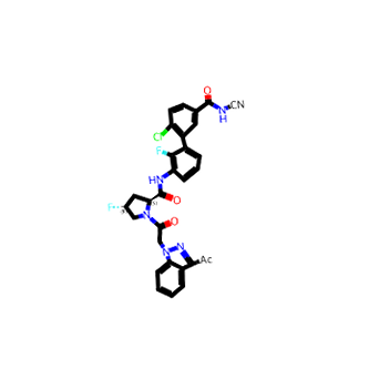 CC(=O)c1nn(CC(=O)N2C[C@H](F)C[C@H]2C(=O)Nc2cccc(-c3cc(C(=O)NC#N)ccc3Cl)c2F)c2ccccc12